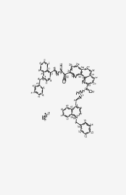 O=C(NN=Cc1cc[n+](Cc2ccccc2)c2ccccc12)c1ccc2ccc3ccc(C(=O)NN=Cc4cc[n+](Cc5ccccc5)c5ccccc45)nc3c2n1.[Br-].[Br-]